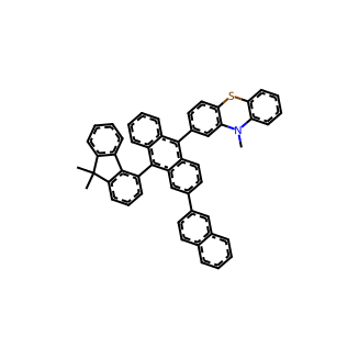 CN1c2ccccc2Sc2ccc(-c3c4ccccc4c(-c4cccc5c4-c4ccccc4C5(C)C)c4cc(-c5ccc6ccccc6c5)ccc34)cc21